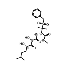 CNC(=O)[C@H](NC(=O)N(O)C(=O)[C@@H](O)CCC(C)C)C(C)(C)S(=O)(=O)Cc1ccccc1